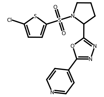 O=S(=O)(c1ccc(Cl)s1)N1CCCC1c1nnc(-c2ccncc2)o1